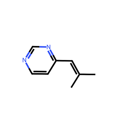 CC(C)=Cc1ccncn1